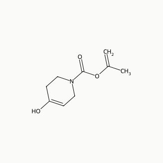 C=C(C)OC(=O)N1CC=C(O)CC1